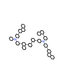 c1ccc(N(c2ccc(-c3ccc4c(ccc5ccccc54)c3)cc2)c2cccc(-c3ccc(-c4cccc(-c5cccc(-c6ccc(N(c7ccc(-c8ccc9c(ccc%10ccccc%109)c8)cc7)c7cccc(-c8cccc9ccccc89)c7)cc6)c5)c4)c4ccccc34)c2)cc1